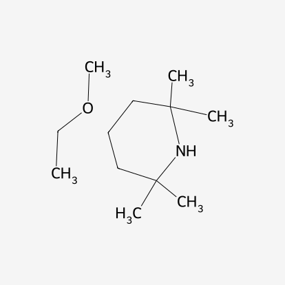 CC1(C)CCCC(C)(C)N1.CCOC